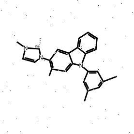 Cc1cc(C)cc(-n2c3ccccc3c3cc(N4C=CN(C)[C@@H]4C)c(C)cc32)c1